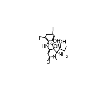 CCC(CO)C1(N)N(C)C(=O)C=C(Nc2ccc(I)cc2F)C1(O)C(=O)O